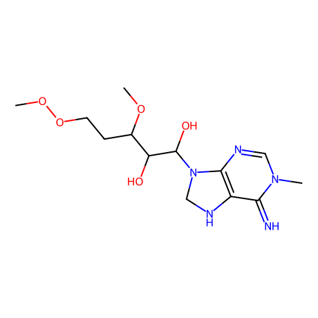 COOCCC(OC)C(O)C(O)N1CNc2c1ncn(C)c2=N